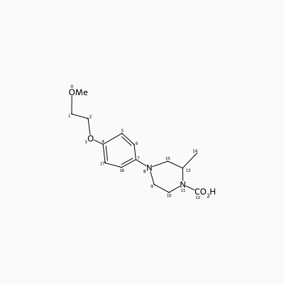 COCCOc1ccc(N2CCN(C(=O)O)C(C)C2)cc1